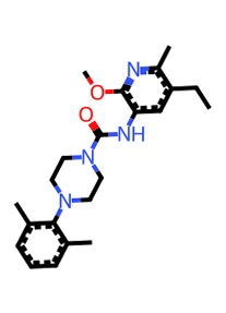 CCc1cc(NC(=O)N2CCN(c3c(C)cccc3C)CC2)c(OC)nc1C